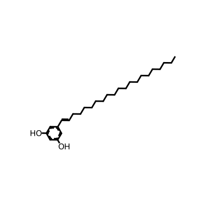 CCCCCCCCCCCCCCCCCCCC=Cc1cc(O)cc(O)c1